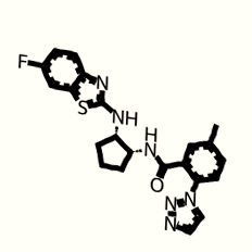 Cc1ccc(-n2ccnn2)c(C(=O)N[C@@H]2CCC[C@@H]2Nc2nc3ccc(F)cc3s2)c1